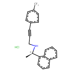 C[C@@H](NCC#Cc1ccc(C(F)(F)F)cc1)c1cccc2ccccc12.Cl